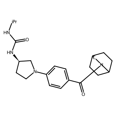 CC(C)NC(=O)N[C@@H]1CCN(c2ccc(C(=O)N3CC4CCC(CC4)C3)cc2)C1